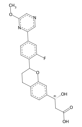 COc1cncc(-c2ccc(C3CCc4ccc([C@H](O)CC(=O)O)cc4O3)c(F)c2)n1